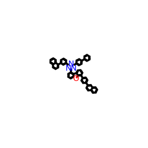 c1ccc(-c2ccc(-c3nc(-c4cccc(-c5cccc6ccccc56)c4)nc(-c4cccc5oc6c(-c7ccc(-c8ccc9ccccc9c8)cc7)cccc6c45)n3)cc2)cc1